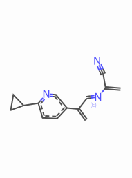 C=C(C#N)/N=C/C(=C)c1ccc(C2CC2)nc1